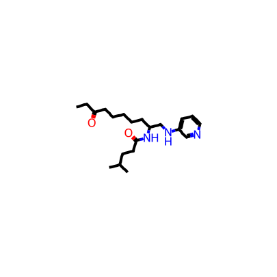 CCC(=O)CCCCCC(CNc1cccnc1)NC(=O)CCC(C)C